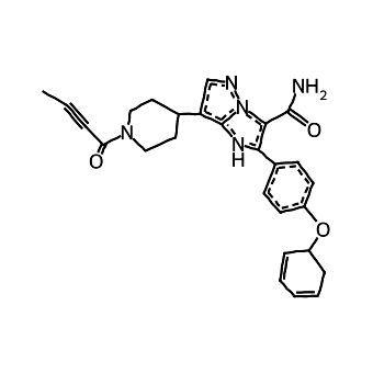 CC#CC(=O)N1CCC(c2cnn3c(C(N)=O)c(-c4ccc(OC5C=CC=CC5)cc4)[nH]c23)CC1